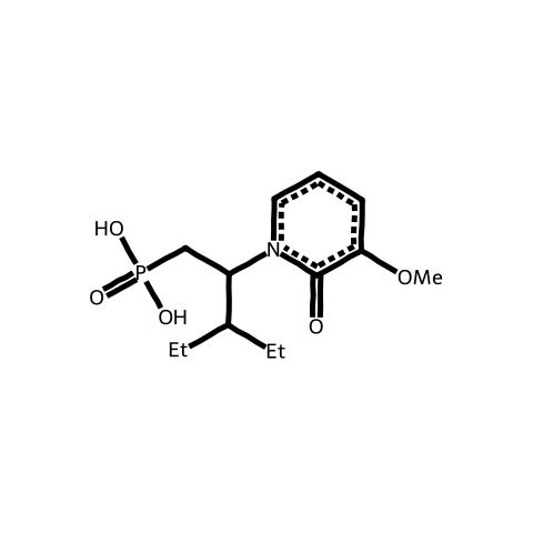 CCC(CC)C(CP(=O)(O)O)n1cccc(OC)c1=O